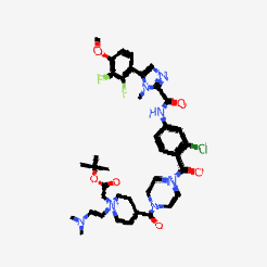 COc1ccc(-c2cnc(C(=O)Nc3ccc(C(=O)N4CCN(C(=O)C5CC[N+](CCN(C)C)(CC(=O)OC(C)(C)C)CC5)CC4)c(Cl)c3)n2C)c(F)c1F